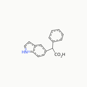 O=C(O)C(c1ccccc1)c1ccc2[nH]ccc2c1